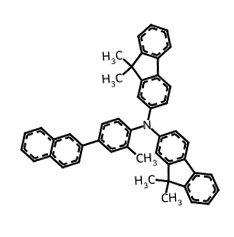 Cc1cc(-c2ccc3ccccc3c2)ccc1N(c1ccc2c(c1)C(C)(C)c1ccccc1-2)c1ccc2c(c1)C(C)(C)c1ccccc1-2